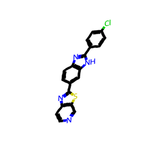 Clc1ccc(-c2nc3ccc(-c4nc5ccncc5s4)cc3[nH]2)cc1